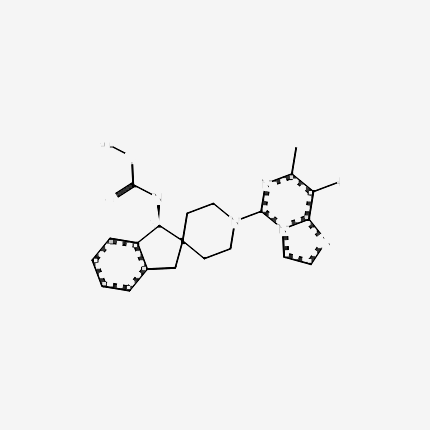 Cc1nc(N2CCC3(CC2)Cc2ccccc2[C@H]3NC(=O)OC(C)(C)C)n2ccnc2c1I